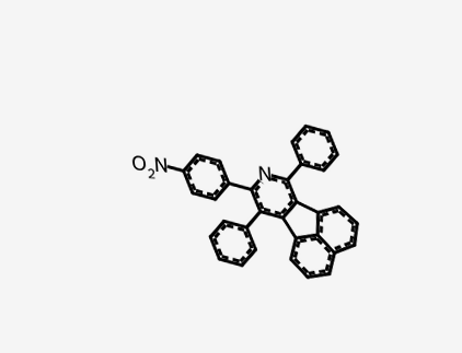 O=[N+]([O-])c1ccc(-c2nc(-c3ccccc3)c3c(c2-c2ccccc2)-c2cccc4cccc-3c24)cc1